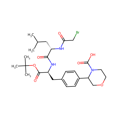 CC(C)C[C@H](NC(=O)CBr)C(=O)N[C@@H](Cc1ccc(C2COCCN2C(=O)O)cc1)C(=O)OC(C)(C)C